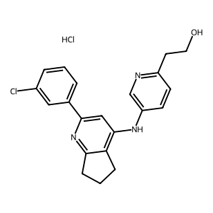 Cl.OCCc1ccc(Nc2cc(-c3cccc(Cl)c3)nc3c2CCC3)cn1